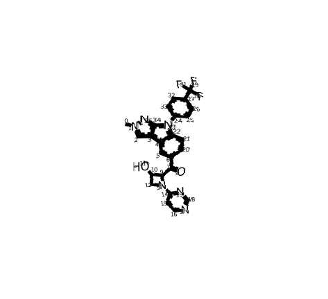 Cn1cc2c3cc(C(=O)C4C(O)CN4c4ccncn4)ccc3n(-c3ccc(C(F)(F)F)cc3)c2n1